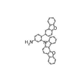 Nc1ccc(-c2ccc3oc4ccccc4c3c2)c(-n2c3ccccc3c3c4oc5ccccc5c4ccc32)c1